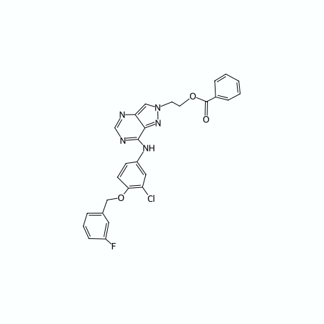 O=C(OCCn1cc2ncnc(Nc3ccc(OCc4cccc(F)c4)c(Cl)c3)c2n1)c1ccccc1